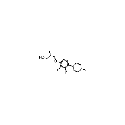 CC1CCC(c2ccc(OCC(C)CO)c(F)c2F)CC1